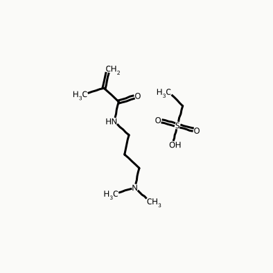 C=C(C)C(=O)NCCCN(C)C.CCS(=O)(=O)O